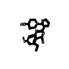 CCc1cc(OC)cc2nc(-c3cccnc3N3CCC(O)CC3)oc(=O)c12